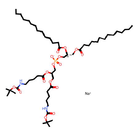 CCCCCCCCCCCCCC(=O)OC[C@H](COP(=O)([O-])OCC(COC(=O)CCCCNC(=O)OC(C)(C)C)OC(=O)CCCCNC(=O)OC(C)(C)C)OC(=O)CCCCCCCCCCCCC.[Na+]